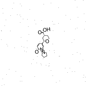 O=C(O)[C@H]1CCO[C@@H](c2ccc(=O)n(N3CCCC3)c2)C1